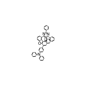 c1ccc(C2=NC(c3ccccc3)NC(c3cccc4oc5c(-c6ccc(N(c7ccccc7)c7ccccc7)cc6)cc6ccccc6c5c34)=N2)cc1